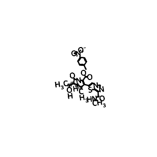 CNC(=O)c1ncn2cc(C3=C(C(=O)OCc4ccc([N+](=O)[O-])cc4)N4C(=O)[C@H]([C@@H](C)O)[C@H]4[C@H]3C)sc12